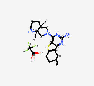 CC1CCc2sc3c(N4C[C@H]5CCCN[C@H]5C4)nc(N)nc3c2C1.O=C(O)C(F)(F)F